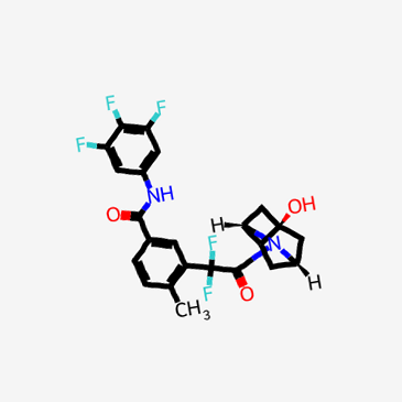 Cc1ccc(C(=O)Nc2cc(F)c(F)c(F)c2)cc1C(F)(F)C(=O)N1[C@H]2CC3[C@@H]1C[C@]3(O)C2